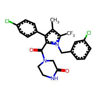 Cc1c(-c2ccc(Cl)cc2)c(C(=O)N2CCNC(=O)C2)n(Cc2cccc(Cl)c2)c1C(F)(F)F